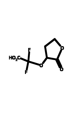 O=C1OCCC1OC(F)(F)C(=O)O